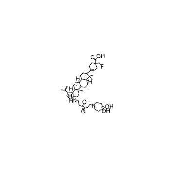 C=C(C)[C@@H]1CC[C@]2(NCCS(=O)(=O)CCN3CCS(O)(O)CC3)CC[C@]3(C)[C@H](CC[C@@H]4[C@@]5(C)CC=C(C6=CCC(CF)(C(=O)O)CC6)C(C)(C)[C@@H]5CC[C@]43C)[C@@H]12